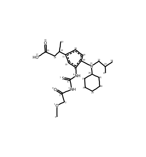 COCC(=O)NC(=S)Nc1cc(C(C)CC(=O)O)ccc1N(CC(C)C)C1CCCCC1